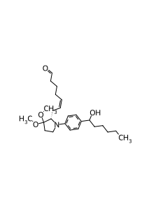 CCCCCC(O)c1ccc(N2CCC(OC)(OC)[C@@H]2C/C=C\CCCC=O)cc1